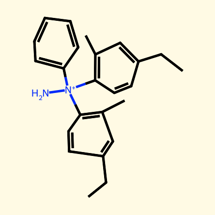 CCc1ccc([N+](N)(c2ccccc2)c2ccc(CC)cc2C)c(C)c1